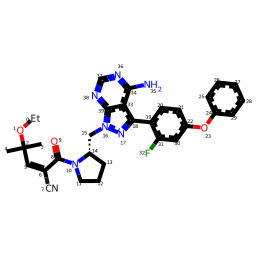 CCOC(C)(C)/C=C(/C#N)C(=O)N1CCC[C@H]1Cn1nc(-c2ccc(Oc3ccccc3)cc2F)c2c(N)ncnc21